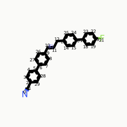 N#Cc1ccc(-c2ccc(/C=C/Cc3ccc(-c4ccc(F)cc4)cc3)cc2)cc1